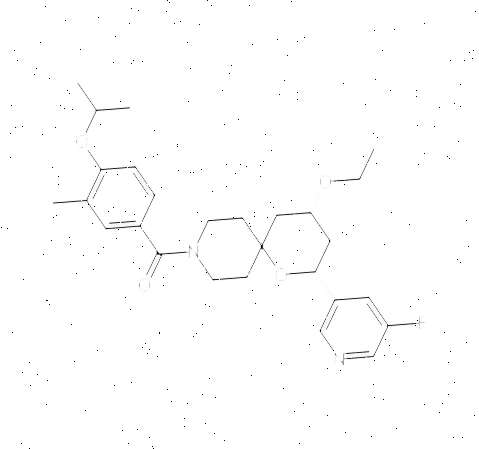 CCO[C@@H]1C[C@H](c2cncc(F)c2)OC2(CCN(C(=O)c3ccc(OC(C)C)c(C)c3)CC2)C1